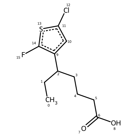 CCC(CCCC(=O)O)c1cc(Cl)sc1F